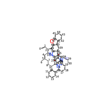 C=Cc1c(C=C(C)CCC2c3ccccc3-c3cccc[n+]3C2CC(=C)N(C)/C=C\C)n2c3ccccc3c3cc4c5ccccc5oc4c1c32